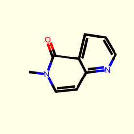 Cn1ccc2ncccc2c1=O